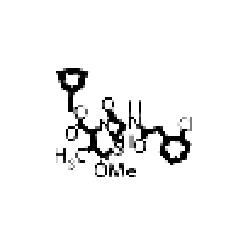 CO[C@H]1S[C@@H]2[C@@H](NC(=O)Cc3ccccc3Cl)C(=O)N2C(C(=O)OCc2ccccc2)=C1C